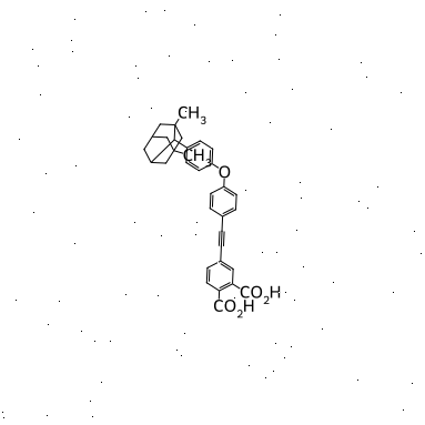 CC12CC3CC(C1)C(c1ccc(Oc4ccc(C#Cc5ccc(C(=O)O)c(C(=O)O)c5)cc4)cc1)C(C)(C3)C2